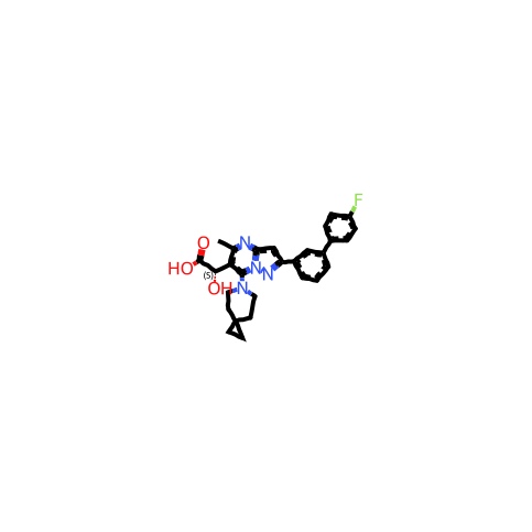 Cc1nc2cc(-c3cccc(-c4ccc(F)cc4)c3)nn2c(N2CCC3(CC2)CC3)c1[C@H](O)C(=O)O